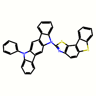 c1ccc(-n2c3ccccc3c3cc4c(cc32)c2ccccc2n4-c2nc3ccc4sc5ccccc5c4c3s2)cc1